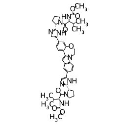 COC(=O)NC(C(=O)N1CCC[C@H]1c1ncc(-c2ccc3c(c2)cc2n3CCOc3cc(-c4cnc([C@@H]5CCCN5C(=O)[C@@H](NC(=O)OC)C(C)C)[nH]4)ccc3-2)[nH]1)C(C)C